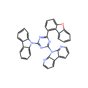 c1ccc2c(c1)oc1cccc(-c3nc(-n4c5ccccc5c5ccccc54)nc(-n4c5ncccc5c5cccnc54)n3)c12